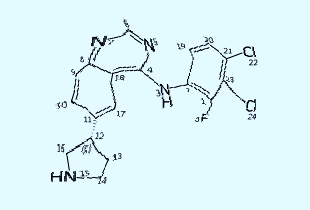 Fc1c(Nc2ncnc3ccc([C@@H]4CCNC4)cc23)ccc(Cl)c1Cl